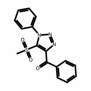 CS(=O)(=O)c1c(C(=O)c2ccccc2)nnn1-c1ccccc1